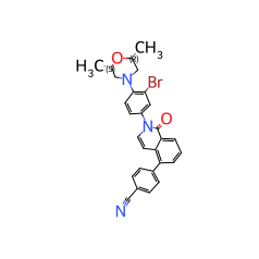 C[C@@H]1CN(c2ccc(-n3ccc4c(-c5ccc(C#N)cc5)cccc4c3=O)cc2Br)C[C@H](C)O1